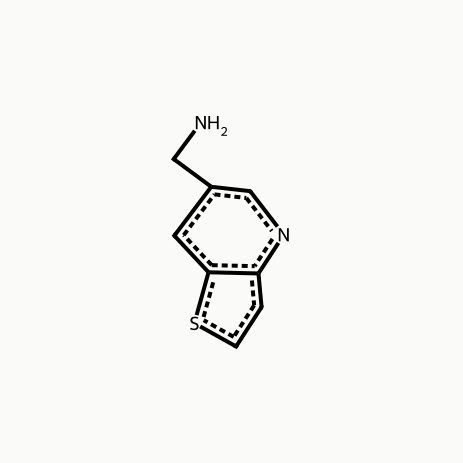 NCc1cnc2ccsc2c1